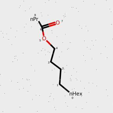 CCCCCCCCCCOC(=O)CCC